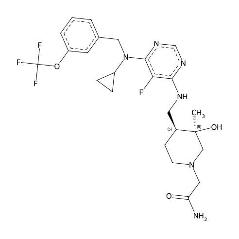 C[C@]1(O)CN(CC(N)=O)CC[C@H]1CNc1ncnc(N(Cc2cccc(OC(F)(F)F)c2)C2CC2)c1F